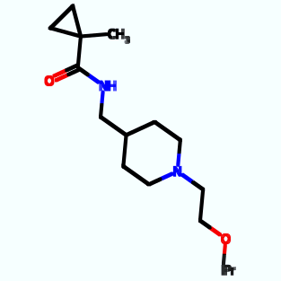 CC(C)OCCN1CCC(CNC(=O)C2(C)CC2)CC1